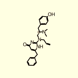 C=CCN(C[C@@H](Cc1ccc(O)cc1)N(C)C)c1nc(=O)cc(Cc2ccccc2)[nH]1